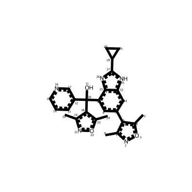 Cc1noc(C)c1-c1cc(C(O)(c2cccnc2)c2c(C)noc2C)c2nc(C3CC3)[nH]c2c1